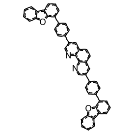 c1ccc2c(c1)oc1c(-c3ccc(-c4cnc5c(ccc6cc(-c7ccc(-c8cccc9c8oc8ccccc89)cc7)cnc65)c4)cc3)cccc12